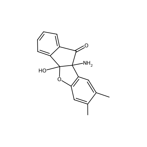 Cc1cc2c(cc1C)C1(N)C(=O)c3ccccc3C1(O)O2